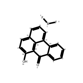 F[B]F.O=C1c2ccccc2-c2cccc3ccc(O)c1c23